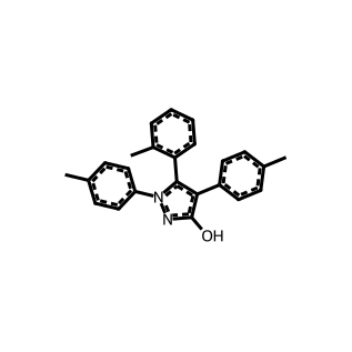 Cc1ccc(-c2c(O)nn(-c3ccc(C)cc3)c2-c2ccccc2C)cc1